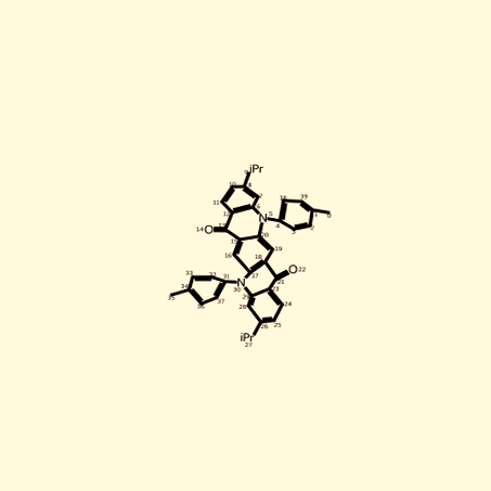 Cc1ccc(-n2c3cc(C(C)C)ccc3c(=O)c3cc4c(cc32)c(=O)c2ccc(C(C)C)cc2n4-c2ccc(C)cc2)cc1